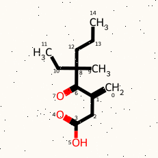 C=C(CC(=O)O)C(=O)C(C)(CC)CCC